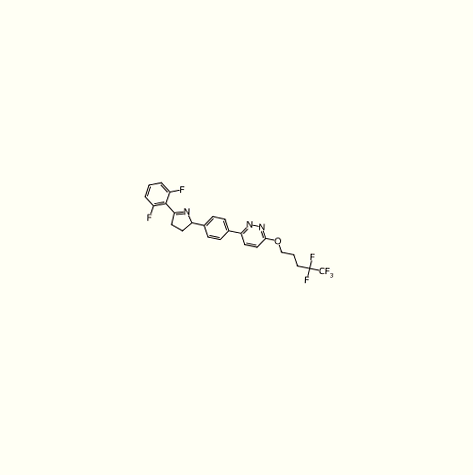 Fc1cccc(F)c1C1=NC(c2ccc(-c3ccc(OCCCC(F)(F)C(F)(F)F)nn3)cc2)CC1